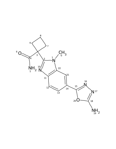 Cn1c(C2(C(N)=O)CCC2)nc2ccc(-c3nnc(N)o3)cc21